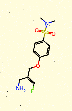 CN(C)S(=O)(=O)c1ccc(OCC(=CF)CN)cc1